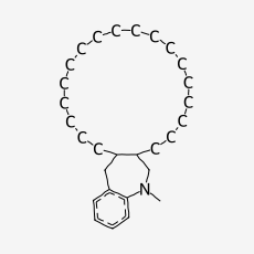 CN1CC2CCCCCCCCCCCCCCCCCCC2Cc2ccccc21